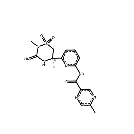 Cc1cnc(C(=O)Nc2cccc([C@]3(C)CS(=O)(=O)N(C)C(=N)N3)n2)cn1